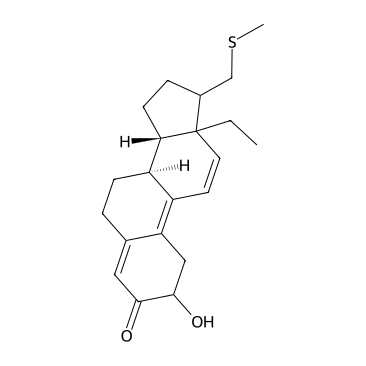 CCC12C=CC3=C4CC(O)C(=O)C=C4CC[C@H]3[C@@H]1CCC2CSC